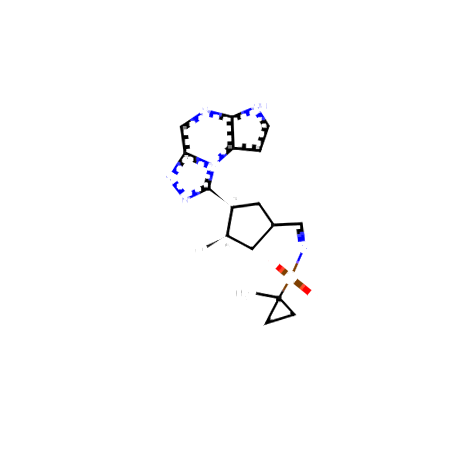 CC[C@@H]1CC(/C=N\S(=O)(=O)C2(C)CC2)C[C@@H]1c1nnc2cnc3[nH]ccc3n12